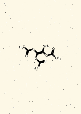 CC(=O)OC([SiH3])=C(OC(C)=O)OC(C)=O